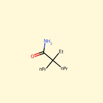 CCCC(CC)(CCC)C(N)=O